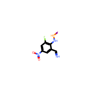 N=Cc1cc([N+](=O)[O-])cc(F)c1NPI